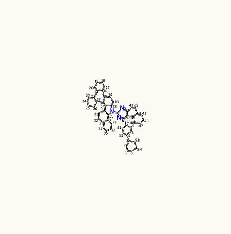 c1ccc(-c2ccc(-c3nc(-n4c5ccc6c7ccccc7c7ccccc7c6c5c5ccc6ccccc6c54)nc4ccc5ccccc5c34)cc2)cc1